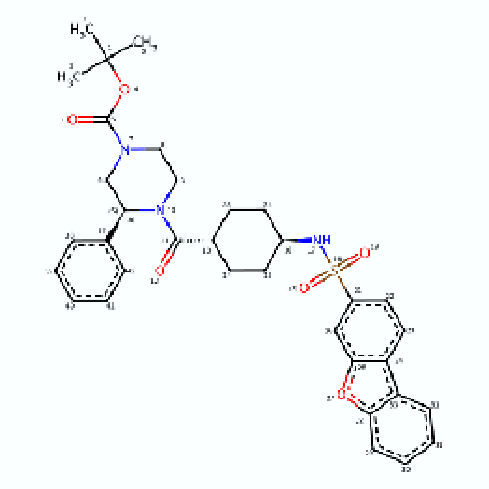 CC(C)(C)OC(=O)N1CCN(C(=O)[C@H]2CC[C@H](NS(=O)(=O)c3ccc4c(c3)oc3ccccc34)CC2)[C@@H](c2ccccc2)C1